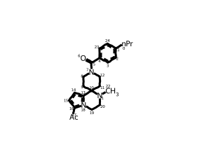 CCCc1ccc(C(=O)N2CCC3(CC2)c2ccc(C(C)=O)n2CCN3C)cc1